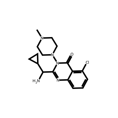 CN1CCN(n2c(C(N)C3CC3)nc3cccc(Cl)c3c2=O)CC1